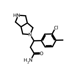 Cc1ccc(C(CC(N)=O)N2CC3CNCC3C2)cc1Cl